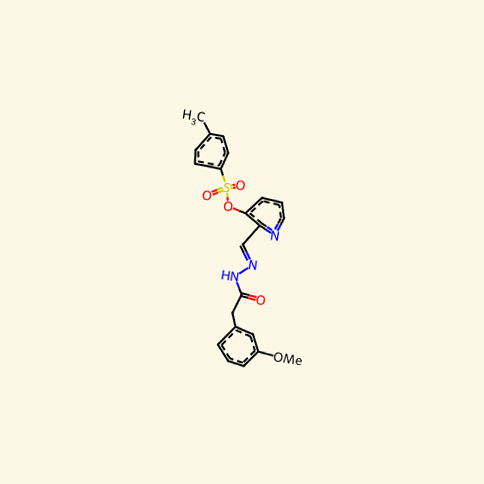 COc1cccc(CC(=O)N/N=C/c2ncccc2OS(=O)(=O)c2ccc(C)cc2)c1